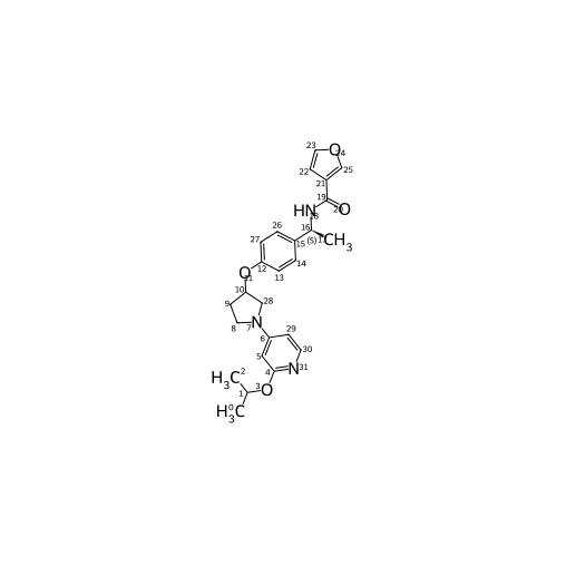 CC(C)Oc1cc(N2CCC(Oc3ccc([C@H](C)NC(=O)c4ccoc4)cc3)C2)ccn1